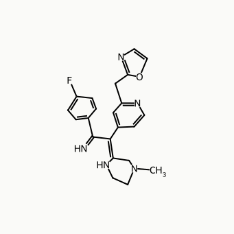 CN1CCN/C(=C(\C(=N)c2ccc(F)cc2)c2ccnc(Cc3ncco3)c2)C1